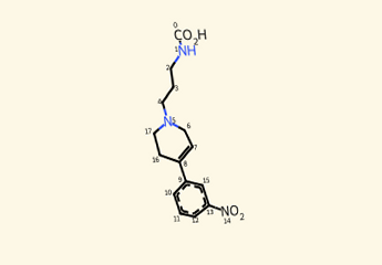 O=C(O)NCCCN1CC=C(c2cccc([N+](=O)[O-])c2)CC1